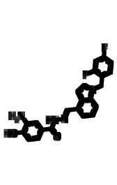 Nc1cc(C(=O)N/N=C/c2cccc3c2ccn3Cc2ccc(F)cc2F)ccc1O